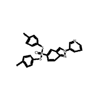 Cc1ccc(SP(=O)(Sc2ccc(C)cc2)c2ccc3nn(-c4cccnc4)cc3c2)cc1